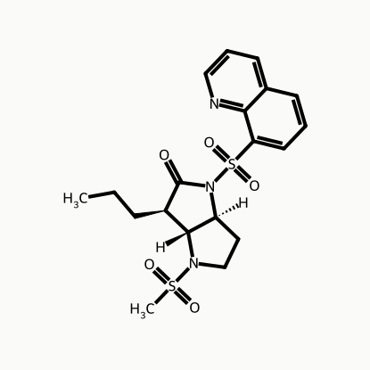 CCC[C@H]1C(=O)N(S(=O)(=O)c2cccc3cccnc23)[C@H]2CCN(S(C)(=O)=O)[C@H]12